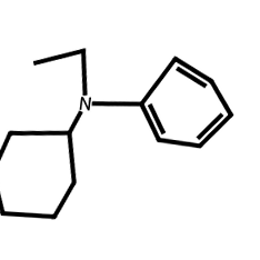 CCN(c1ccccc1)C1CCCCC1